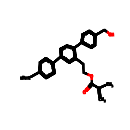 C=C(C)C(=O)OCCc1cc(-c2ccc(CCCCC)cc2)ccc1-c1ccc(CO)cc1